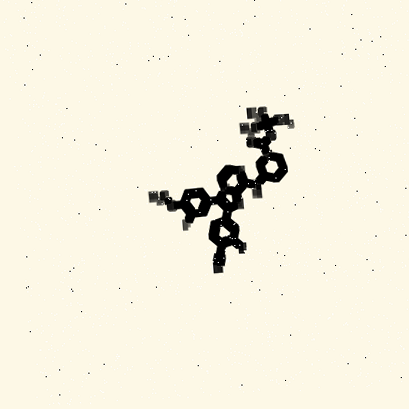 COc1ccc(-c2c(-c3ccc(C#N)c(F)c3)nc3c(NC4CCCN(C(=O)OC(C)(C)C)C4)nccn23)cc1F